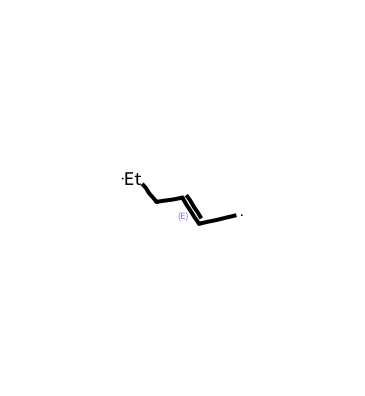 [CH2]/C=C/C[CH]C